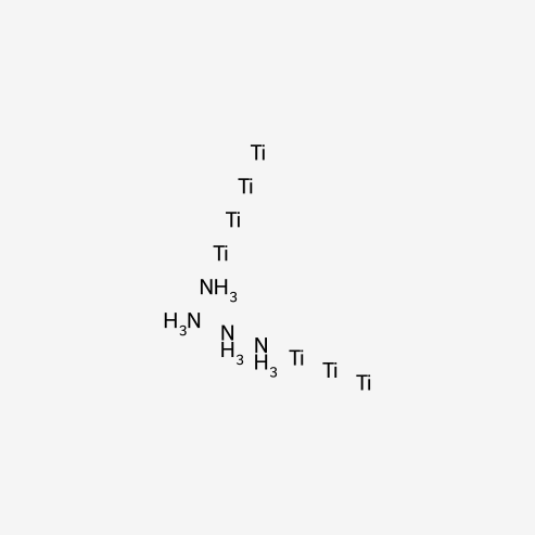 N.N.N.N.[Ti].[Ti].[Ti].[Ti].[Ti].[Ti].[Ti]